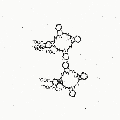 O=C([O-])c1cc2c3nc4nc(nc5[nH]c(nc6nc(nc([nH]3)c2c(C(=O)[O-])c1C(=O)[O-])-c1ccccc1-6)c1ccccc51)-c1ccccc1-4.O=C([O-])c1cc2c3nc4nc(nc5[nH]c(nc6nc(nc([nH]3)c2c(C(=O)[O-])c1C(=O)[O-])-c1ccccc1-6)c1ccccc51)-c1ccccc1-4.[Co+2].[Co+2].[Co+2]